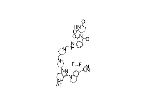 CC(=O)N1CCc2c(c(N3CCCc4cc(-c5cnn(C)c5)c(C(F)F)cc43)nn2C2CCN(CC3CCN(CCNc4cccc5c4C(=O)N(C4CCC(=O)NC4=O)C5=O)CC3)CC2)C1